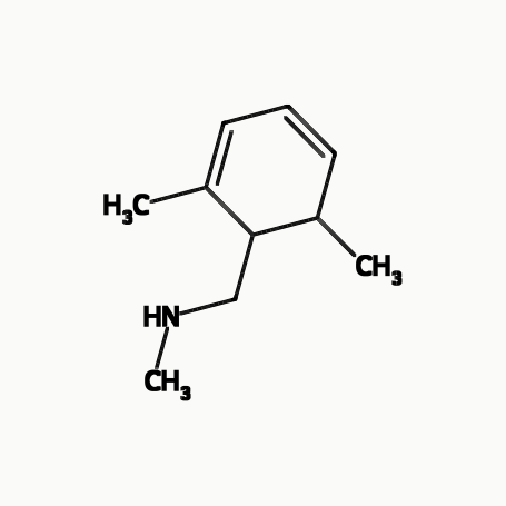 CNCC1C(C)=CC=CC1C